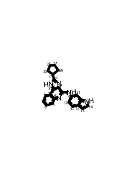 c1ccc2c(c1)nc(Nc1ccc3cc[nH]c3c1)c1nc(C3CCCC3)[nH]c12